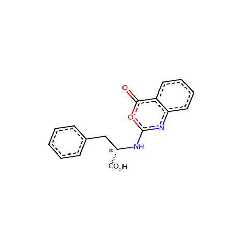 O=C(O)[C@H](Cc1ccccc1)Nc1nc2ccccc2c(=O)o1